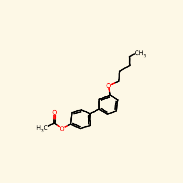 CCCCCOc1cccc(-c2ccc(OC(C)=O)cc2)c1